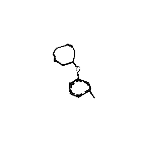 Cc1cccc(OC2CCCCCC2)c1